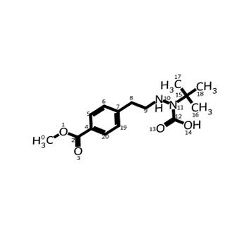 COC(=O)c1ccc(CCNN(C(=O)O)C(C)(C)C)cc1